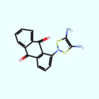 NC1=C(N)SN(c2cccc3c2C(=O)c2ccccc2C3=O)S1